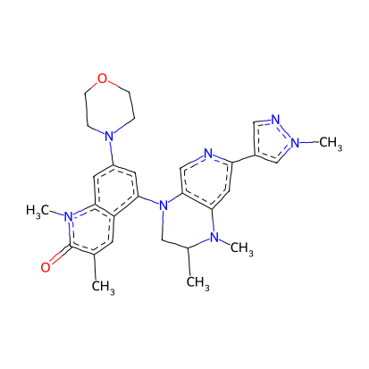 Cc1cc2c(N3CC(C)N(C)c4cc(-c5cnn(C)c5)ncc43)cc(N3CCOCC3)cc2n(C)c1=O